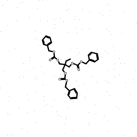 CCC(COC(=O)OCc1ccccc1)(COC(=O)OCc1ccccc1)COC(=O)OCc1ccccc1